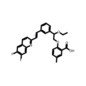 CCOC(COc1ccc(C)cc1C(=O)O)c1cccc(/C=C/c2ccc3cc(F)c(F)cc3n2)c1